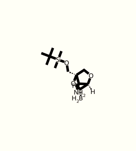 B[C@@H]1O[C@@]2(CO[Si](C)(C)C(C)(C)C)CO[C@@H]1[C@@H]2N